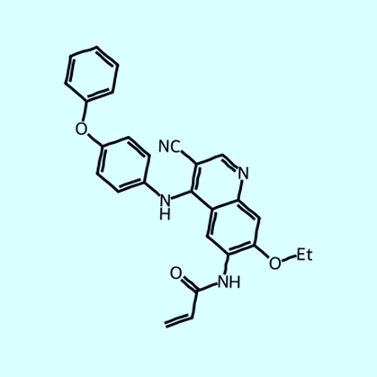 C=CC(=O)Nc1cc2c(Nc3ccc(Oc4ccccc4)cc3)c(C#N)cnc2cc1OCC